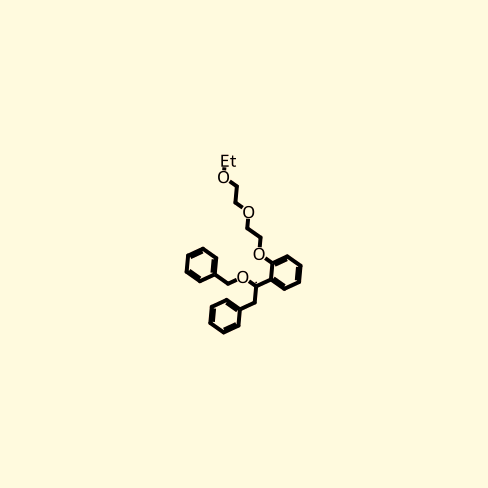 CCOCCOCCOc1ccccc1[C](Cc1ccccc1)OCc1ccccc1